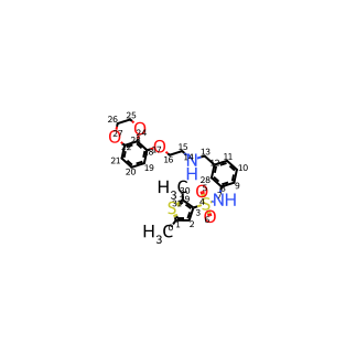 Cc1cc(S(=O)(=O)Nc2cccc(CNCCOc3cccc4c3OCCO4)c2)c(C)s1